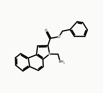 BCn1c(C(=O)OCc2ccccc2)cc2c3ccccc3ccc21